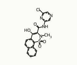 CN1C(C(=O)Nc2cncc(Cl)n2)=C(O)c2ccc3ccccc3c2S1(=O)=O